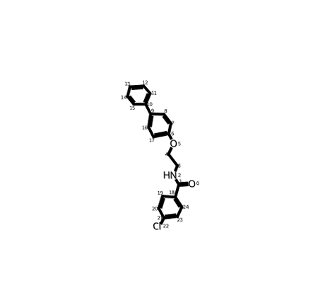 O=C(NCCOc1ccc(-c2ccccc2)cc1)c1ccc(Cl)cc1